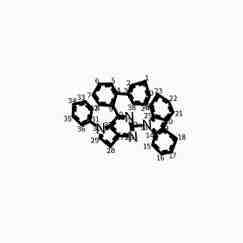 c1ccc(-c2ccccc2-c2nc(-n3c4ccccc4c4ccccc43)nc3ccn(-c4ccccc4)c23)cc1